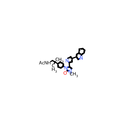 CC(=O)NCC(C)(C)c1ccc(-n2c(-c3cc(-c4cnc5ccccc5c4)ccn3)cn(C)c2=O)cc1